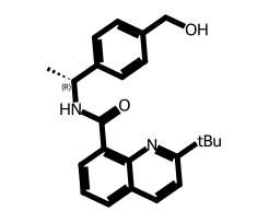 C[C@@H](NC(=O)c1cccc2ccc(C(C)(C)C)nc12)c1ccc(CO)cc1